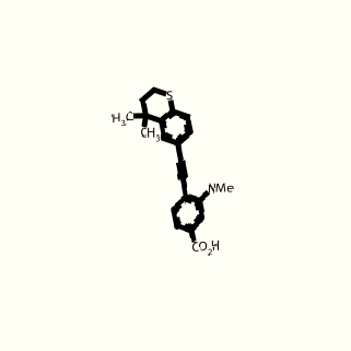 CNc1cc(C(=O)O)ccc1C#Cc1ccc2c(c1)C(C)(C)CCS2